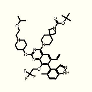 C=Cc1cc2c(N3CCC4(CC3)CN(C(=O)OC(C)(C)C)C4)nc(OC3CCN(CCOC(C)C)CC3)nc2c(OCC(F)(F)F)c1-c1c(C)ccc2[nH]ncc12